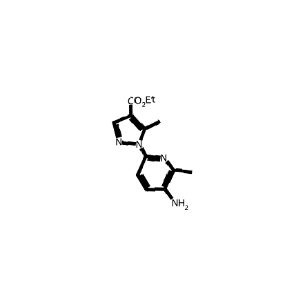 CCOC(=O)c1cnn(-c2ccc(N)c(C)n2)c1C